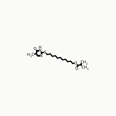 C=C(C)C(=O)OCCCCCCCCCCCSc1ncc(C)c(=O)[nH]1